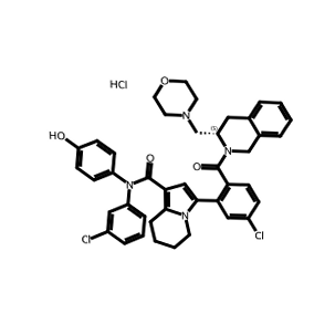 Cl.O=C(c1cc(-c2cc(Cl)ccc2C(=O)N2Cc3ccccc3C[C@H]2CN2CCOCC2)n2c1CCCC2)N(c1ccc(O)cc1)c1cccc(Cl)c1